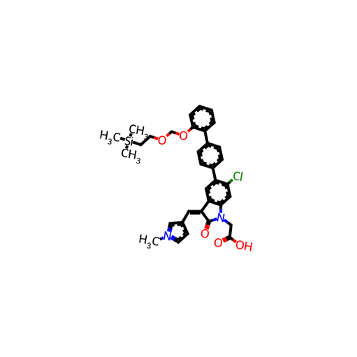 Cn1ccc(C=C2C(=O)N(CC(=O)O)c3cc(Cl)c(-c4ccc(-c5ccccc5OCOCC[Si](C)(C)C)cc4)cc32)c1